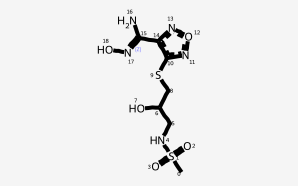 CS(=O)(=O)NCC(O)CSc1nonc1/C(N)=N/O